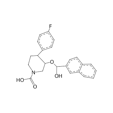 O=C(O)N1CCC(c2ccc(F)cc2)C(OC(O)c2ccc3ccccc3c2)C1